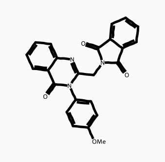 COc1ccc(-n2c(CN3C(=O)c4ccccc4C3=O)nc3ccccc3c2=O)cc1